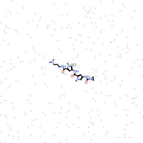 CN(C)CCCNC(=O)c1cc(NC(=O)c2cc(NC(=O)N3CC3)cn2C)cn1C.Cl